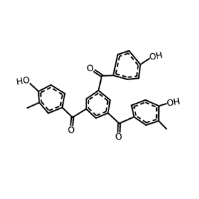 Cc1cc(C(=O)c2cc(C(=O)c3ccc(O)cc3)cc(C(=O)c3ccc(O)c(C)c3)c2)ccc1O